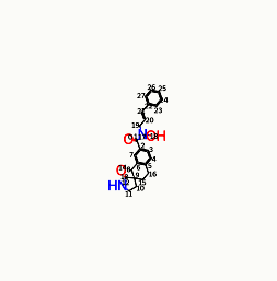 O=C(c1ccc2c(c1)C[C@]1(CCNC1=O)CC2)N(O)CC=Cc1ccccc1